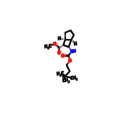 COC(=O)[C@@H]1[C@H]2CCC[C@H]2[C@@H]1NC(=O)OCC[Si](C)(C)C